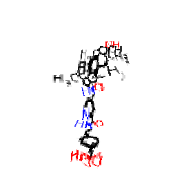 C=C(C)[C@@H]1CC[C@]2(C(=O)NCc3ccnc(C(=O)NCCc4ccc(C(=O)O)cc4)c3)CC[C@]3(C)C(CCC4[C@@]5(C)CC[C@H](O)C(C)(C)C5CC[C@]43C)C12